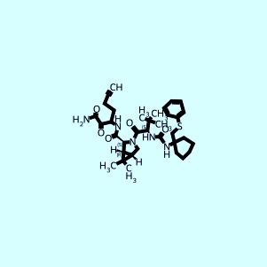 C#CCCC(NC(=O)[C@@H]1[C@@H]2[C@H](CN1C(=O)[C@@H](NC(=O)NC1(CSc3ccccc3)CCCCC1)C(C)(C)C)C2(C)C)C(=O)C(N)=O